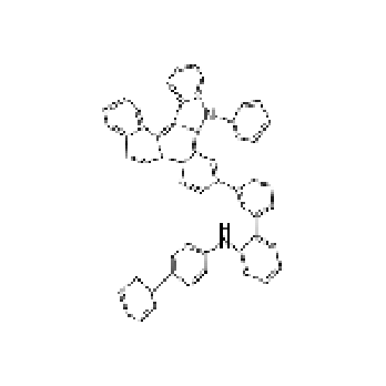 C1=CCC(c2ccc(Nc3ccccc3-c3cccc(C4=CC5=c6c(c7ccccc7n6-c6ccccc6)=C6c7ccccc7C=CC6C5C=C4)c3)cc2)C=C1